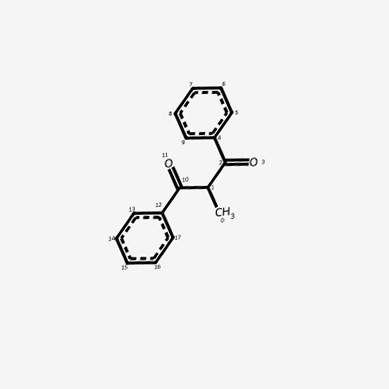 CC(C(=O)c1ccccc1)C(=O)c1ccccc1